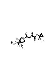 CC1(OC(=O)NCC(=O)N2C[C@@H]3[C@H](C2)C3(C)C)CC1